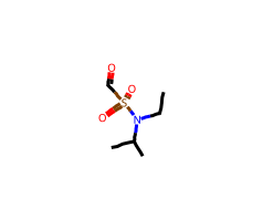 CCN(C(C)C)S(=O)(=O)C=O